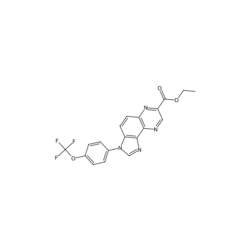 CCOC(=O)c1cnc2c(ccc3c2ncn3-c2ccc(OC(F)(F)F)cc2)n1